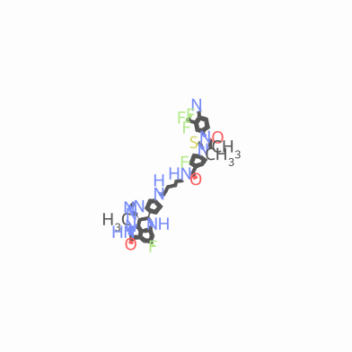 Cn1ncnc1[C@H]1c2n[nH]c(=O)c3cc(F)cc(c23)N[C@@H]1c1ccc(NCCCCCNC(=O)c2ccc(N3C(=S)N(c4ccc(C#N)c(C(F)(F)F)c4)C(=O)C3(C)C)cc2F)cc1